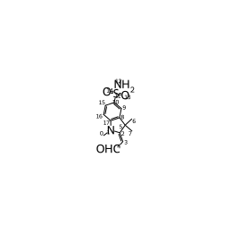 CN1C(=CC=O)C(C)(C)c2cc(S(N)(=O)=O)ccc21